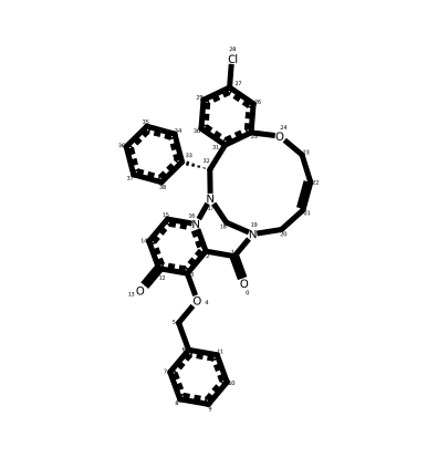 O=C1c2c(OCc3ccccc3)c(=O)ccn2N2CN1C/C=C\COc1cc(Cl)ccc1[C@H]2c1ccccc1